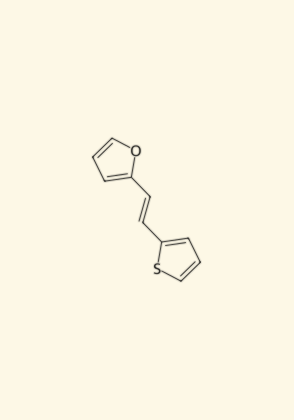 C(=Cc1cccs1)c1ccco1